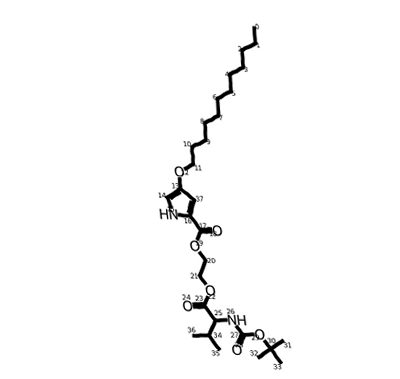 CCCCCCCCCCCCOc1c[nH]c(C(=O)OCCOC(=O)C(NC(=O)OC(C)(C)C)C(C)C)c1